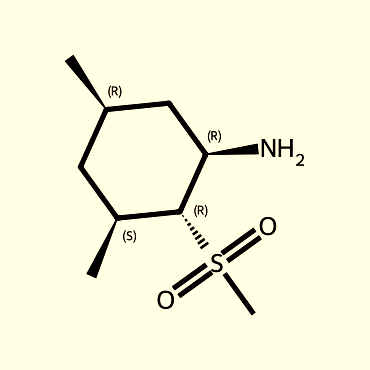 C[C@H]1C[C@@H](N)[C@H](S(C)(=O)=O)[C@@H](C)C1